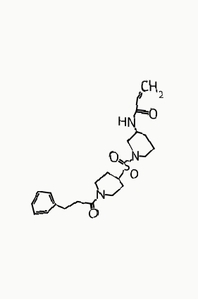 C=CC(=O)N[C@H]1CCCN(S(=O)(=O)C2CCN(C(=O)CCc3ccccc3)CC2)C1